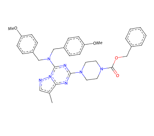 COc1ccc(CN(Cc2ccc(OC)cc2)c2nc(N3CCN(C(=O)OCc4ccccc4)CC3)nc3c(C)cnn23)cc1